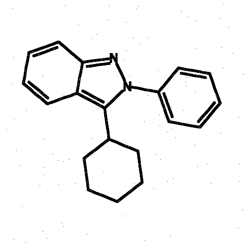 c1ccc(-n2nc3ccccc3c2C2CCCCC2)cc1